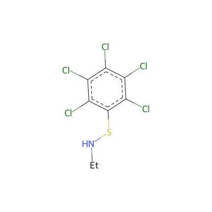 CCNSc1c(Cl)c(Cl)c(Cl)c(Cl)c1Cl